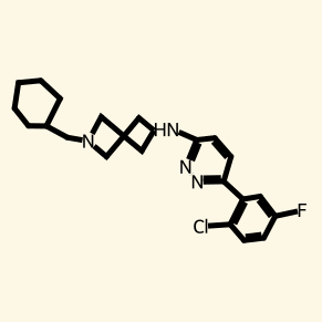 Fc1ccc(Cl)c(-c2ccc(NC3CC4(C3)CN(CC3CCCCC3)C4)nn2)c1